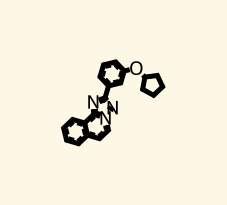 c1cc(OC2CCCC2)cc(-c2nc3c4ccccc4ccn3n2)c1